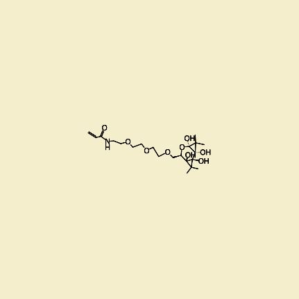 C=CC(=O)NCCOCCOCCOC[C@H]1O[C@@]2(O)C(C)(C)[C@@]2(O)[C@]2(O)C(C)(C)[C@]12O